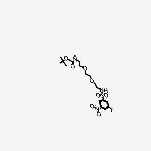 CN(CCOCCOCCNS(=O)(=O)c1cc(F)cc([N+](=O)[O-])c1)C(=O)OC(C)(C)C